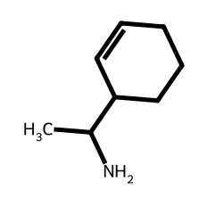 CC(N)C1C=CCCC1